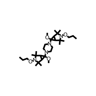 CCCON1C(C)(C)C2C(C1(C)C)C2(OC)N1CCN(C2(OC)C3C2C(C)(C)N(OCCC)C3(C)C)CC1